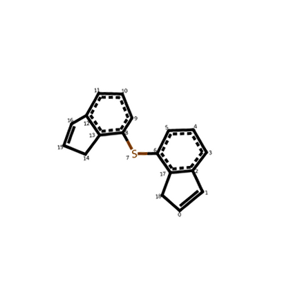 C1=Cc2cccc(Sc3cccc4c3CC=C4)c2C1